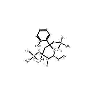 CC(C)(C)[Si](C)(C)O[C@]1(c2ccccc2S)C[C@@](O)(O[Si](C)(C)C(C)(C)C)[C@@H](O)[C@H](CO)O1